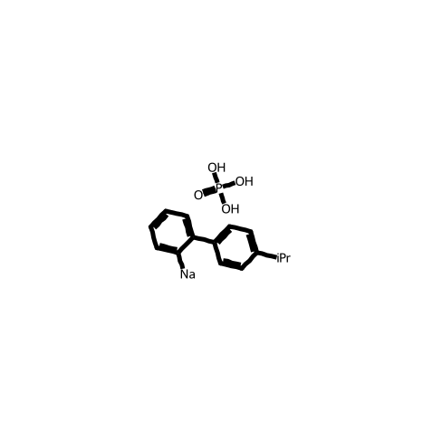 CC(C)c1ccc(-c2cccc[c]2[Na])cc1.O=P(O)(O)O